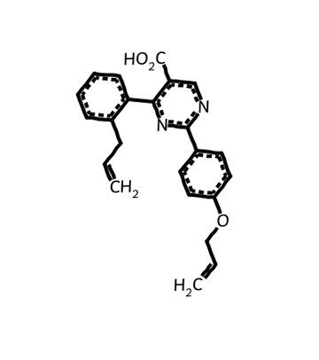 C=CCOc1ccc(-c2ncc(C(=O)O)c(-c3ccccc3CC=C)n2)cc1